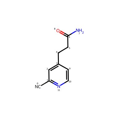 N#Cc1cc([CH]CC(N)=O)ccn1